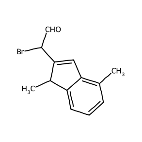 Cc1cccc2c1C=C(C(Br)C=O)C2C